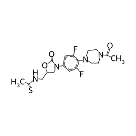 CC(=O)N1CCN(c2c(F)cc(N3CC(CNC(C)=S)OC3=O)cc2F)CC1